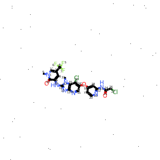 Cn1cc(C(F)(F)F)cc(Nc2nc3ncc(Oc4ccnc(NC(=O)CCl)c4)c(Cl)c3n2C)c1=O